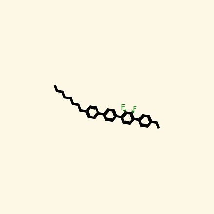 CCCCCCCCc1ccc(-c2ccc(-c3ccc(-c4ccc(CC)cc4)c(F)c3F)cc2)cc1